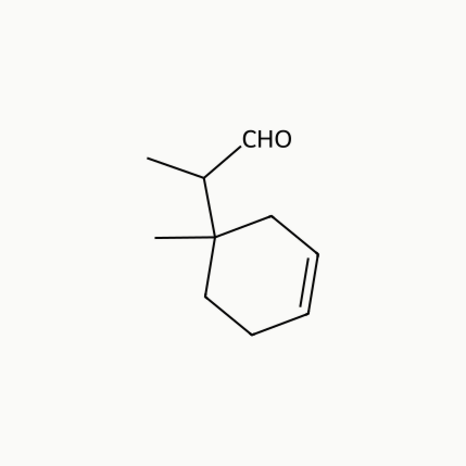 CC(C=O)C1(C)CC=CCC1